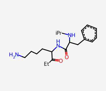 CCC(=O)C(CCCCN)NC(=O)C(Cc1ccccc1)NC(C)C